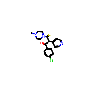 CN1CCN(C(=S)C(C(=O)c2ccc(Cl)cc2)c2ccncc2)CC1